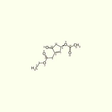 CCOC(=O)CC1=C[C@H](OC(C)=O)CC1=O